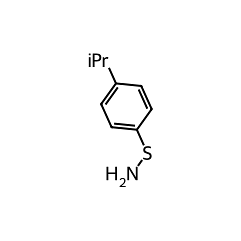 CC(C)c1ccc(SN)cc1